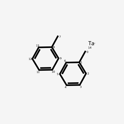 Cc1ccccc1.Cc1ccccc1.[Ta]